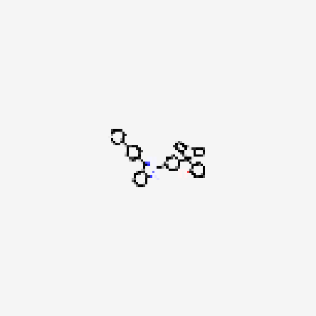 CN1c2ccccc2C(c2ccc(-c3ccccc3)cc2)=NC1c1ccc2c(c1)Oc1ccccc1C21c2ccccc2-c2ccccc21